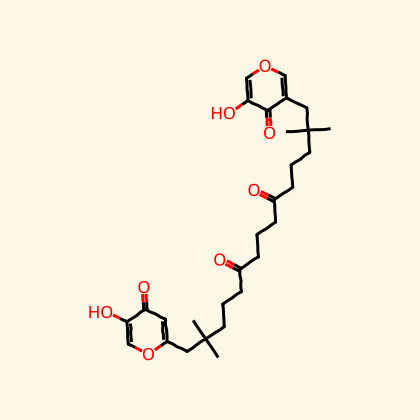 CC(C)(CCCC(=O)CCCC(=O)CCCC(C)(C)Cc1cocc(O)c1=O)Cc1cc(=O)c(O)co1